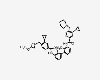 COC1CN(Cc2cnc(C(=O)Nc3cccc(-c4cccc(NC(=O)c5cc(C6CC6)c(CN6CCCCC6)cn5)c4C)c3C)cc2C2CC2)C1